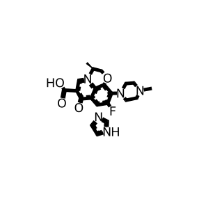 C[C@H]1COc2c(N3CCN(C)CC3)c(F)cc3c(=O)c(C(=O)O)cn1c23.c1c[nH]cn1